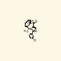 C[C@H](c1ccccc1)n1c(C(=O)O)cnc1-c1cccc(Cl)c1